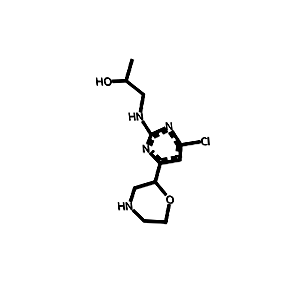 CC(O)CNc1nc(Cl)cc(C2CNCCO2)n1